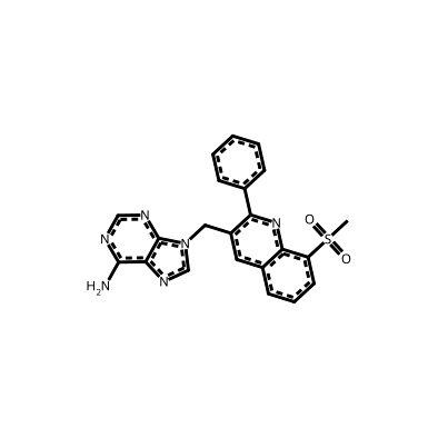 CS(=O)(=O)c1cccc2cc(Cn3cnc4c(N)ncnc43)c(-c3ccccc3)nc12